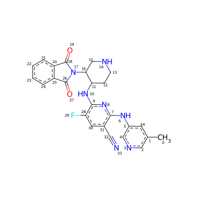 Cc1cncc(Nc2nc(NC3CCNCC3N3C(=O)c4ccccc4C3=O)c(F)cc2C#N)c1